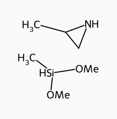 CC1CN1.CO[SiH](C)OC